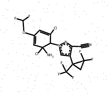 N#Cc1nn(C2C(Cl)=CC(OC(F)F)=CC2(N)Cl)cc1C1(C(F)(F)F)CC1(F)F